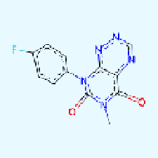 Cn1c(=O)c2ncnnc2n(-c2ccc(F)cc2)c1=O